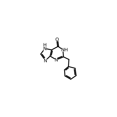 O=c1[nH]c(Cc2ccccc2)nc2nc[nH]c12